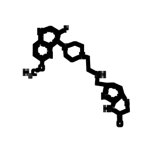 COc1ccc2ncc(F)c(N3CCN(CCNCc4ccc5c(n4)NC(=O)CS5)CC3)c2n1